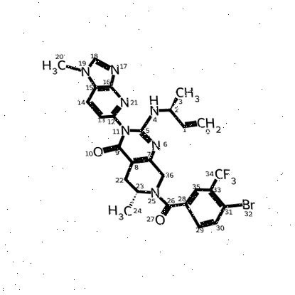 C=C[C@H](C)Nc1nc2c(c(=O)n1-c1ccc3c(ncn3C)n1)C[C@@H](C)N(C(=O)c1ccc(Br)c(C(F)(F)F)c1)C2